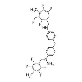 CC1=C(CF)C(F)=C(CNc2ccc(CC3C=CC(N(N)Cc4c(F)c(F)c(C)c(F)c4F)=CC3)cc2)CC(F)=C1F